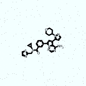 Nc1ncnn2c(-c3cccc(C(=O)N(Cc4nccs4)C4CC4)c3)cc(-c3ccnn3C3CCOCC3)c12